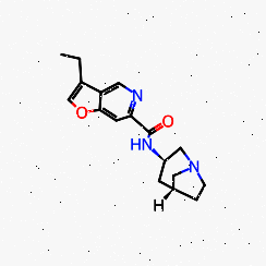 CCc1coc2cc(C(=O)N[C@@H]3C[C@H]4CCN(C4)C3)ncc12